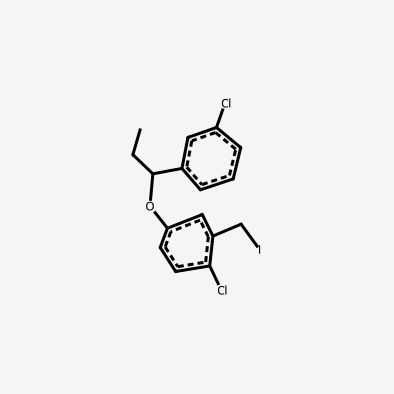 CCC(Oc1ccc(Cl)c(CI)c1)c1cccc(Cl)c1